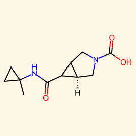 CC1(NC(=O)C2C3CN(C(=O)O)C[C@H]32)CC1